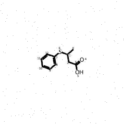 CC(CC(=O)O)Sc1ccccc1